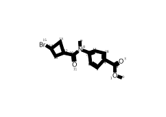 COC(=O)c1ccc(N(C)C(=O)C2CC(Br)C2)cc1